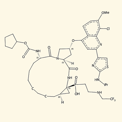 COc1ccc2c(O[C@@H]3C[C@H]4C(=O)N[C@]5(P(=O)(O)CCNCC(F)(F)F)C[C@H]5CCCCCCC[C@H](NC(=O)OC5CCCC5)C(=O)N4C3)cc(-c3csc(NC(C)C)n3)nc2c1Cl